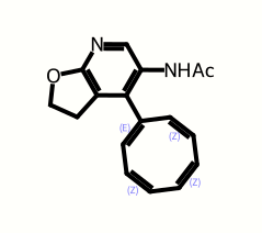 CC(=O)Nc1cnc2c(c1C1=C/C=C\C=C/C=C\1)CCO2